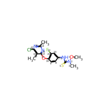 CON(C)C(=S)Nc1ccc(Oc2nc(C)nc(Cl)c2C)c(F)c1